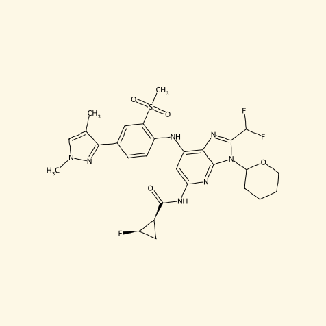 Cc1cn(C)nc1-c1ccc(Nc2cc(NC(=O)[C@H]3C[C@H]3F)nc3c2nc(C(F)F)n3C2CCCCO2)c(S(C)(=O)=O)c1